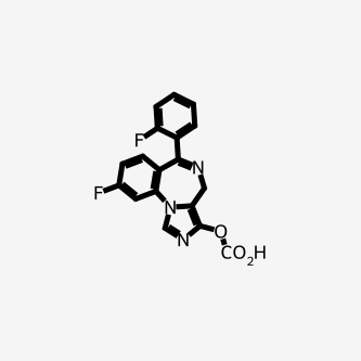 O=C(O)Oc1ncn2c1CN=C(c1ccccc1F)c1ccc(F)cc1-2